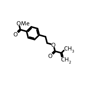 C=C(C)C(=O)OCCc1ccc(C(=O)OC)cc1